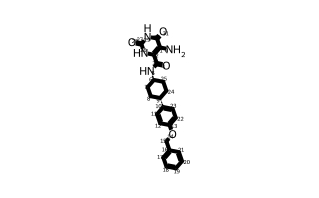 Nc1c(C(=O)N[C@H]2CC[C@@H](c3ccc(OCc4ccccc4)cc3)CC2)[nH]c(=O)[nH]c1=O